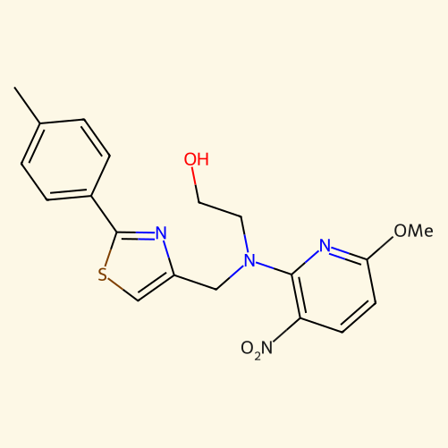 COc1ccc([N+](=O)[O-])c(N(CCO)Cc2csc(-c3ccc(C)cc3)n2)n1